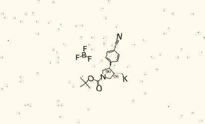 CC(C)(C)OC(=O)N1C[C@@H]([CH2][K])[C@H](c2ccc(C#N)cc2)C1.FB(F)F